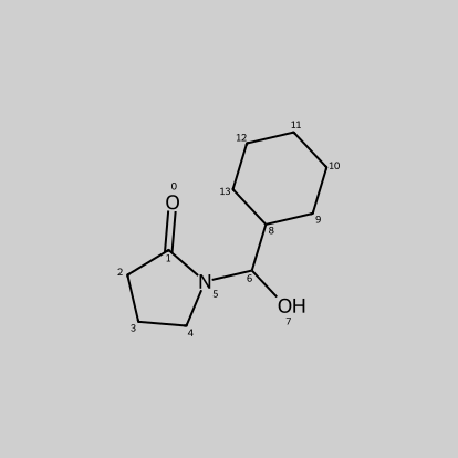 O=C1CCCN1C(O)C1CCCCC1